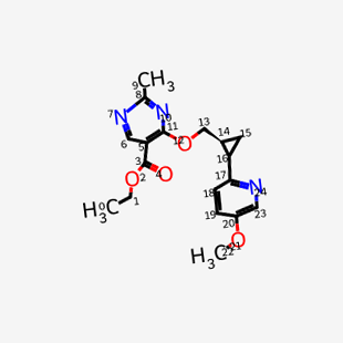 CCOC(=O)c1cnc(C)nc1OC[C@H]1CC1c1ccc(OC)cn1